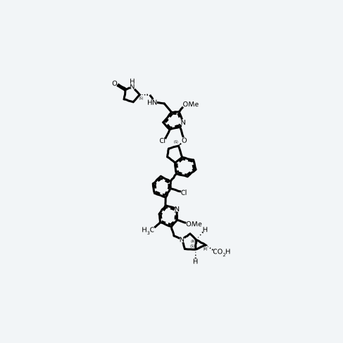 COc1nc(O[C@H]2CCc3c(-c4cccc(-c5cc(C)c(CN6C[C@@H]7[C@H](C6)[C@H]7C(=O)O)c(OC)n5)c4Cl)cccc32)c(Cl)cc1CNC[C@@H]1CCC(=O)N1